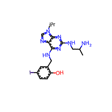 CC(N)CNc1nc(NCc2cc(I)ccc2O)c2ncn(C(C)C)c2n1